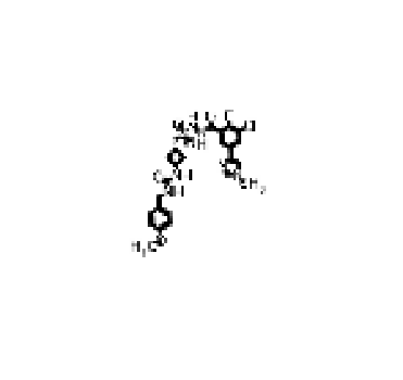 COc1ccc(CNC(=O)N[C@H]2C[C@@H](CS(=O)(=O)NNC(=O)c3cc(-c4cn(C)cn4)cc(Cl)c3F)C2)cc1